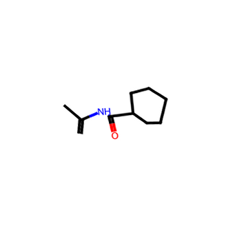 C=C(C)NC(=O)C1CCCCC1